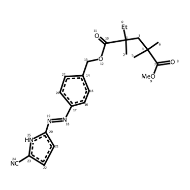 CCC(C)(CC(C)(C)C(=O)OC)C(=O)OCc1ccc(/N=N/c2ccc(C#N)[nH]2)cc1